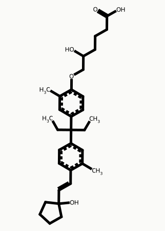 CCC(CC)(c1ccc(C=CC2(O)CCCC2)c(C)c1)c1ccc(OCC(O)CCCC(=O)O)c(C)c1